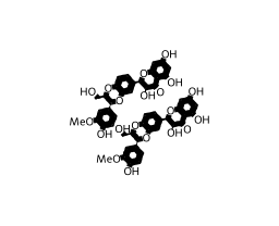 COc1cc([C@H]2Oc3cc([C@H]4Oc5cc(O)cc(O)c5C(=O)[C@@H]4O)ccc3O[C@@H]2CO)ccc1O.COc1cc([C@H]2Oc3cc([C@H]4Oc5cc(O)cc(O)c5C(=O)[C@@H]4O)ccc3O[C@@H]2CO)ccc1O